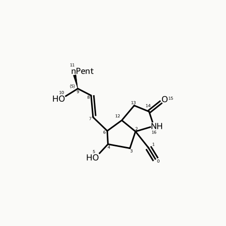 C#CC12CC(O)C(C=C[C@@H](O)CCCCC)C1CC(=O)N2